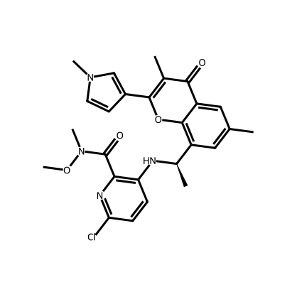 CON(C)C(=O)c1nc(Cl)ccc1N[C@H](C)c1cc(C)cc2c(=O)c(C)c(-c3ccn(C)c3)oc12